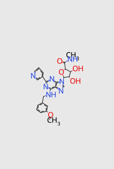 CNC(=O)C1OC(n2cnc3c(NCc4cccc(OC)c4)nc(-c4cccnc4)nc32)C(O)C1O